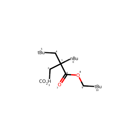 CCCCC(CC(=O)O)(CC(C)(C)C)C(=O)OCC(C)(C)C